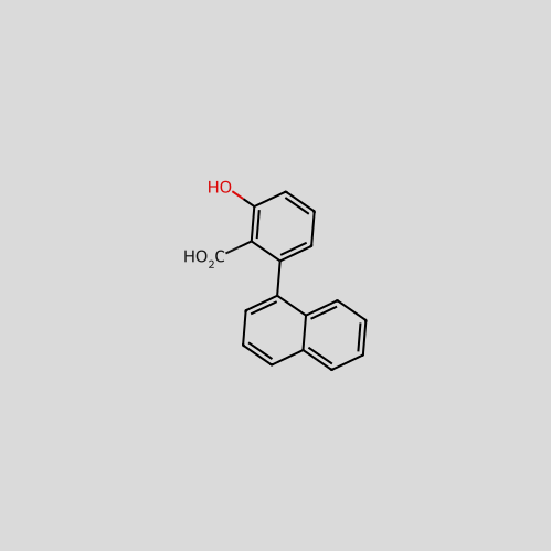 O=C(O)c1c(O)cccc1-c1cccc2ccccc12